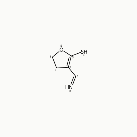 N=CC1=C(S)OCC1